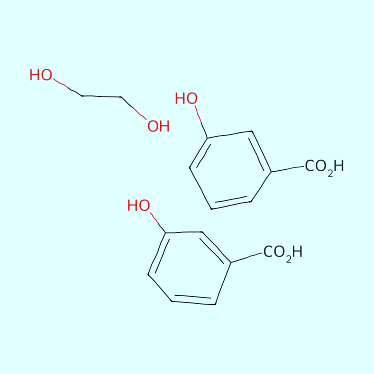 O=C(O)c1cccc(O)c1.O=C(O)c1cccc(O)c1.OCCO